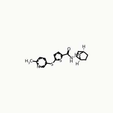 Cc1ccc(Sc2ccc(C(=O)N[C@@H]3C[C@H]4CC[C@@H]3N4)s2)cn1